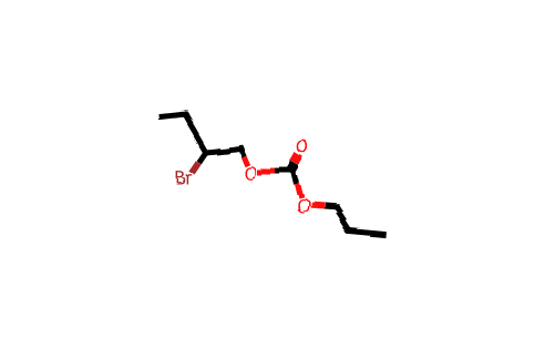 CCCOC(=O)OCC(Br)CC